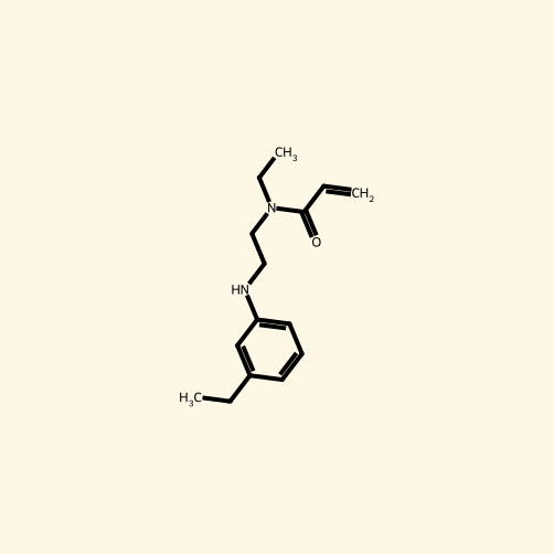 C=CC(=O)N(CC)CCNc1cccc(CC)c1